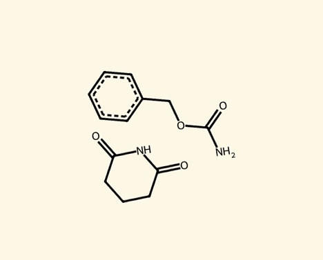 NC(=O)OCc1ccccc1.O=C1CCCC(=O)N1